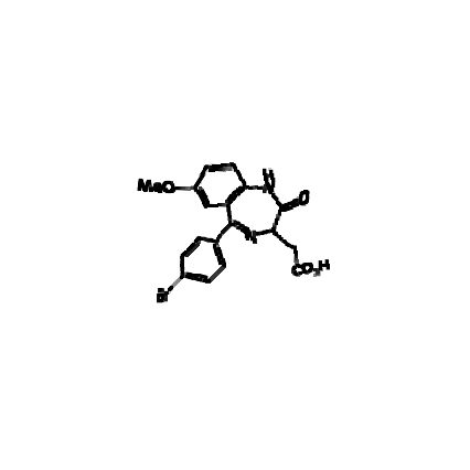 COc1ccc2c(c1)C(c1ccc(Br)cc1)=NC(CC(=O)O)C(=O)N2